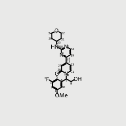 COc1cc(F)cc(C(CO)n2ccc(-c3ccnc(NC4CCOCC4)n3)cc2=O)c1